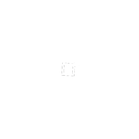 C1=C[S+]=C1